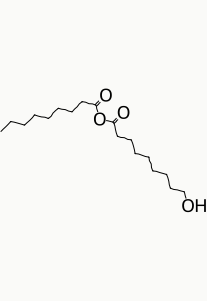 CCCCCCCCC(=O)OC(=O)CCCCCCCCO